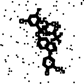 CC(C)[C@H](NC(=O)C(F)(F)F)[C@H](Oc1ccc2c(cnn2-c2ccc(=O)n(C)c2)c1)c1cc(F)cc(Cl)c1